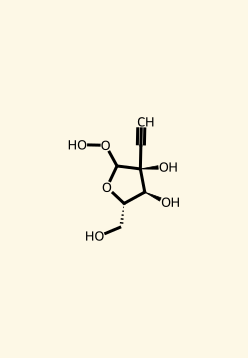 C#C[C@@]1(O)C(OO)O[C@@H](CO)[C@@H]1O